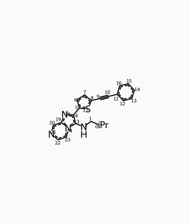 CC(C)CNc1c(-c2ccc(C#Cc3ccccc3)s2)nc2cnccn12